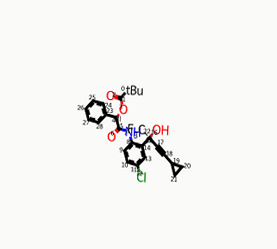 CC(C)(C)C(=O)O[C@@H](C(=O)Nc1ccc(Cl)cc1[C@@](O)(C#CC1CC1)C(F)(F)F)c1ccccc1